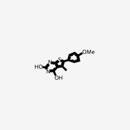 COc1ccc(-c2sc3nc(O)nc(O)c3c2C)cc1